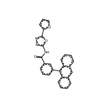 O=C(Nc1nnc(-c2ccco2)o1)c1cccc(-c2c3ccccc3cc3ccccc23)c1